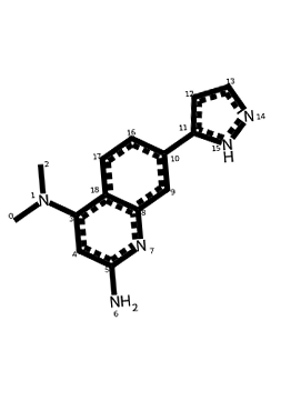 CN(C)c1cc(N)nc2cc(-c3ccn[nH]3)ccc12